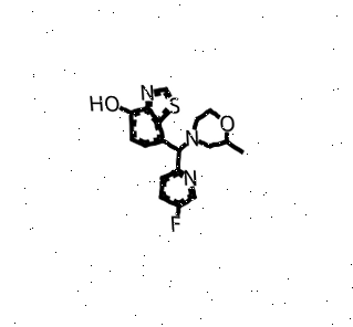 CC1CN(C(c2ccc(F)cn2)c2ccc(O)c3ncsc23)CCO1